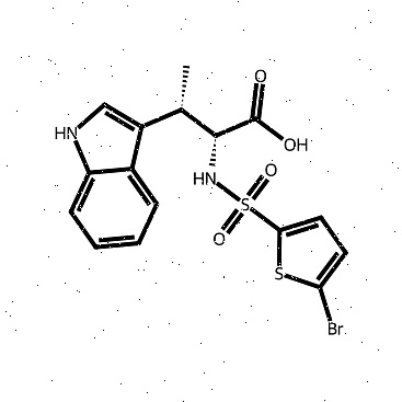 C[C@@H](c1c[nH]c2ccccc12)[C@@H](NS(=O)(=O)c1ccc(Br)s1)C(=O)O